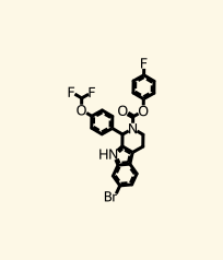 O=C(Oc1ccc(F)cc1)N1CCc2c([nH]c3cc(Br)ccc23)C1c1ccc(OC(F)F)cc1